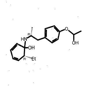 CC[C@@H]1C=CC=CC1(O)N[C@H](C)Cc1ccc(OC(C)O)cc1